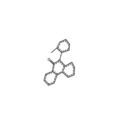 Cc1ccccc1-n1c(=O)c2ccccc2c2ccccc21